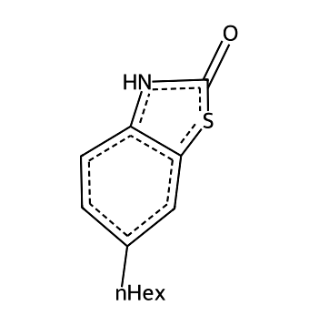 [CH2]CCCCCc1ccc2[nH]c(=O)sc2c1